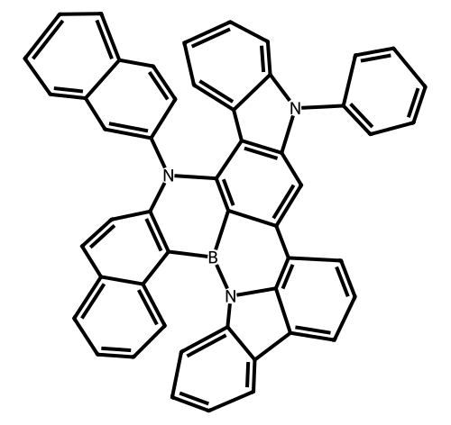 c1ccc(-n2c3ccccc3c3c4c5c(cc32)-c2cccc3c6ccccc6n(c23)B5c2c(ccc3ccccc23)N4c2ccc3ccccc3c2)cc1